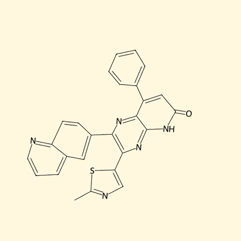 Cc1ncc(-c2nc3[nH]c(=O)cc(-c4ccccc4)c3nc2-c2ccc3ncccc3c2)s1